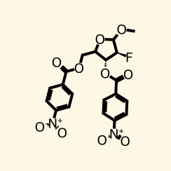 COC1OC(COC(=O)c2ccc([N+](=O)[O-])cc2)[C@@H](OC(=O)c2ccc([N+](=O)[O-])cc2)[C@@H]1F